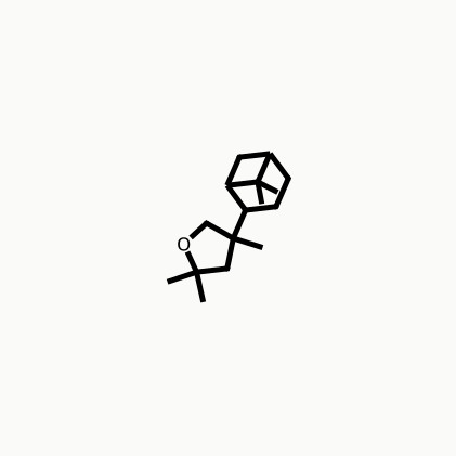 CC1(C)CC(C)(C2CCC3CC2C3(C)C)CO1